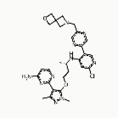 Cc1nn(C)c(OCC[C@H](C)Nc2cc(Cl)ncc2-c2cnc(CN3CC4(COC4)C3)cn2)c1-c1nccc(N)n1